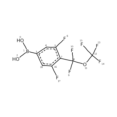 OB(O)c1cc(F)c(C(F)(F)OC(F)(F)F)c(F)c1